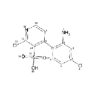 Nc1cc(Cl)ccc1-c1ccnc(Cl)c1S(=O)(=O)O